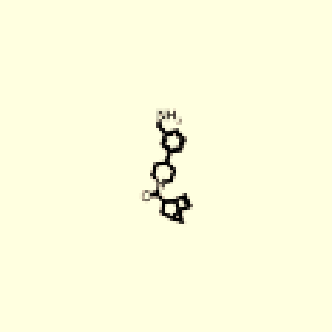 NCc1cccc(C2CCN(C(=O)C3CC4CC45C=CC35)CC2)c1